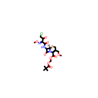 COCC1=C(C(=O)OCOC(=O)C(C)(C)C)N2C(=O)C(NC(=O)C(=NOC)C(=O)CCl)[C@@H]2SC1